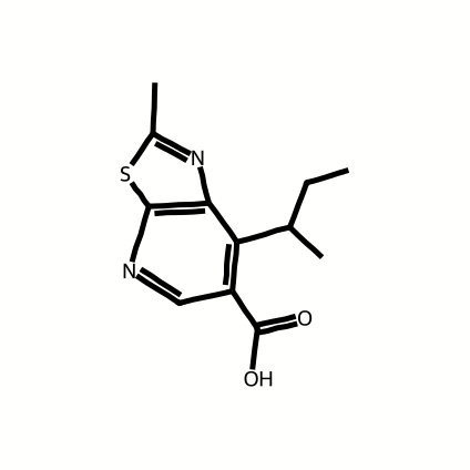 CCC(C)c1c(C(=O)O)cnc2sc(C)nc12